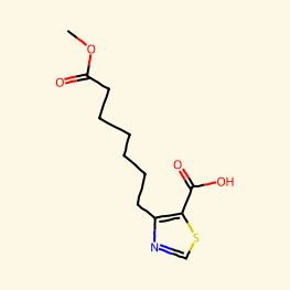 COC(=O)CCCCCCc1ncsc1C(=O)O